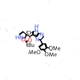 COc1cc(-c2cnc3[nH]cc(C(OC(=O)C(C)(C)C)C4(C)CCNC4)c3n2)cc(OC)c1OC